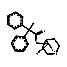 CC(C(=O)O[C@H]1CN2CCC1CC2)(c1ccccc1)c1ccccc1